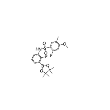 COc1cc(F)c(S(=O)(=O)Nc2cccc(B3OC(C)(C)C(C)(C)O3)c2F)cc1C